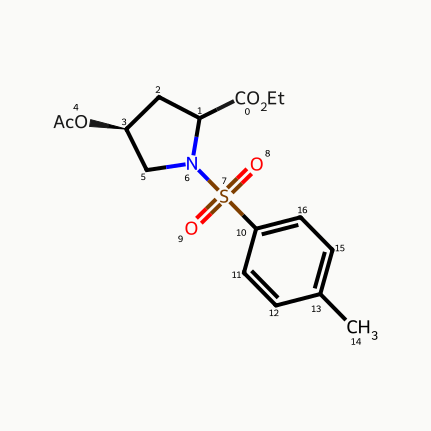 CCOC(=O)C1C[C@H](OC(C)=O)CN1S(=O)(=O)c1ccc(C)cc1